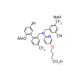 COc1ccc(C(C)C)cc1-c1ccc(C(F)(F)F)cc1CN(Cc1cc(C#N)cc(C(F)(F)F)c1)c1ccc(OCCCC(=O)O)cn1.[NaH]